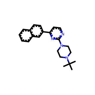 CC(C)(C)N1CCN(c2nccc(-c3ccc4ccccc4c3)n2)CC1